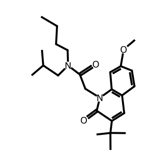 CCCCN(CC(C)C)C(=O)Cn1c(=O)c(C(C)(C)C)cc2ccc(OC)cc21